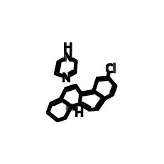 C1=CNCC=N1.Clc1ccc2ccc3c(c2c1)C=CC1=CCCC[C@H]13